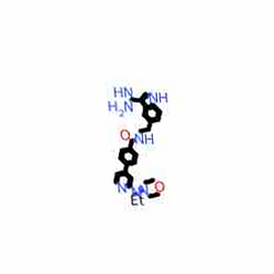 CCN(c1cc(-c2ccc(C(=O)NCCc3ccc4[nH]cc(C(=N)N)c4c3)cc2)ccn1)N1CCOCC1